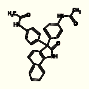 CC(=O)Nc1ccc(C2(c3ccc(NC(C)=O)cc3)C(=O)Nc3c2ccc2ccccc32)cc1